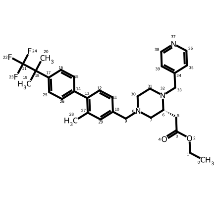 CCOC(=O)C[C@@H]1CN(Cc2ccc(-c3ccc(C(C)(C)C(F)(F)F)cc3)c(C)c2)CCN1Cc1ccncc1